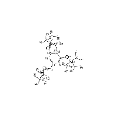 CC(C)[Si](Oc1cc(CO[Si](C)(C)C(C)(C)C)cc(O[Si](C(C)C)(C(C)C)C(C)C)c1)(C(C)C)C(C)C